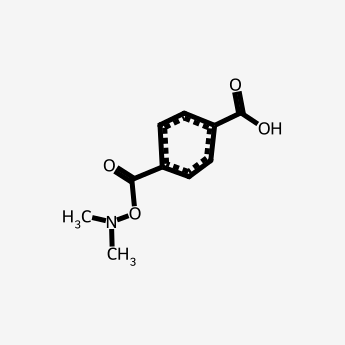 CN(C)OC(=O)c1ccc(C(=O)O)cc1